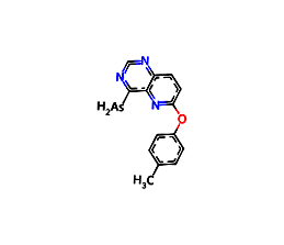 Cc1ccc(Oc2ccc3ncnc([AsH2])c3n2)cc1